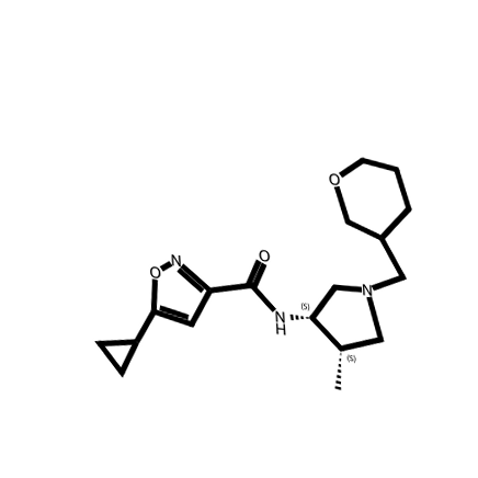 C[C@H]1CN(CC2CCCOC2)C[C@H]1NC(=O)c1cc(C2CC2)on1